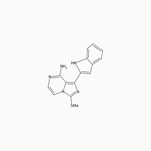 CSc1nc(-c2cc3ccccc3[nH]2)c2c(N)nccn12